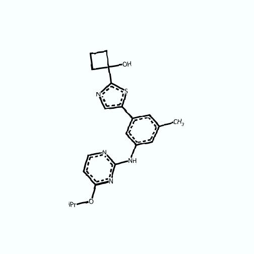 Cc1cc(Nc2nccc(OC(C)C)n2)cc(-c2cnc(C3(O)CCC3)s2)c1